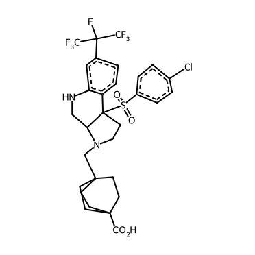 O=C(O)C12CCC(CN3CCC4(S(=O)(=O)c5ccc(Cl)cc5)c5ccc(C(F)(C(F)(F)F)C(F)(F)F)cc5NCC34)(CC1)CC2